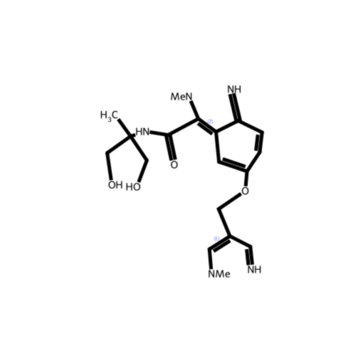 CN/C=C(\C=N)COC1=C/C(=C(/NC)C(=O)NC(C)(CO)CO)C(=N)C=C1